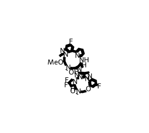 CO[C@H]1CN(C)C(=O)[C@@H]2C[C@@H](CN2c2nc3nc4c2cnn4-c2ccc(F)cc2OCCN(C)C(=O)[C@@H]2CC(F)(F)CN32)Nc2cccc(n2)-c2cc(F)cc3nc(C)n(c23)C1